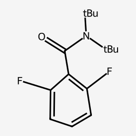 CC(C)(C)N(C(=O)c1c(F)cccc1F)C(C)(C)C